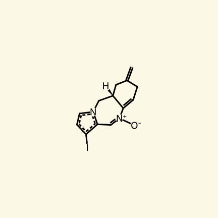 C=C1CC=C2[C@@H](C1)Cn1ccc(I)c1C=[N+]2[O-]